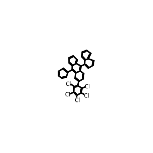 Clc1c(Cl)c(Cl)c(-c2ccc3c(-c4cccc5ccccc45)c4ccccc4c(-c4ccccc4)c3c2)c(Cl)c1Cl